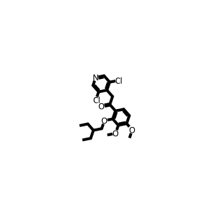 CCC(CC)COc1c(C(=O)Cc2c(Cl)cncc2Cl)ccc(OC)c1OC